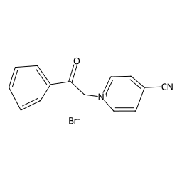 N#Cc1cc[n+](CC(=O)c2ccccc2)cc1.[Br-]